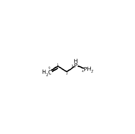 C=CCPP